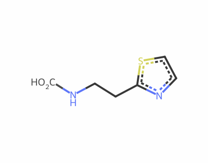 O=C(O)NCCc1nccs1